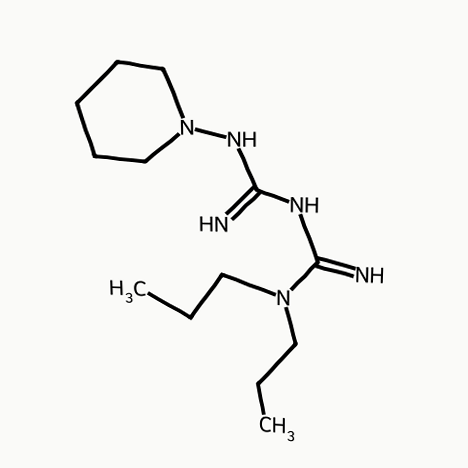 CCCN(CCC)C(=N)NC(=N)NN1CCCCC1